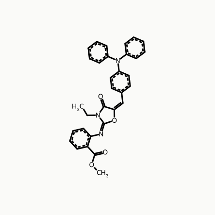 CCN1C(=O)/C(=C\c2ccc(N(c3ccccc3)c3ccccc3)cc2)O/C1=N/c1ccccc1C(=O)OC